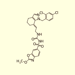 COc1nc2ccc(S(=O)(=O)NC(=O)NCC=C3CCCc4cnn(Cc5ccc(Cl)cc5Cl)c43)cc2o1